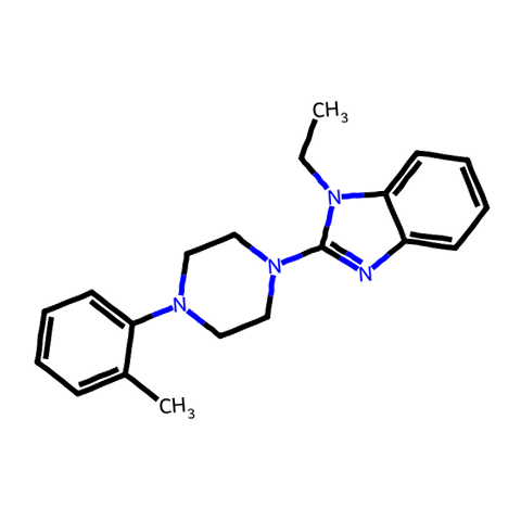 CCn1c(N2CCN(c3ccccc3C)CC2)nc2ccccc21